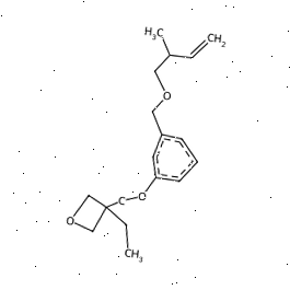 C=CC(C)COCc1cccc(OCC2(CC)COC2)c1